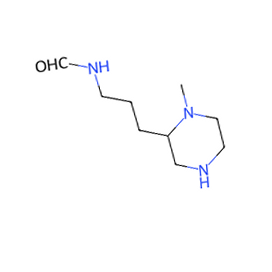 CN1CCNCC1CCCNC=O